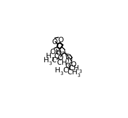 CC(C)(C)OC(=O)[C@@H](Cc1cc(CO)c2c(c1)OCCO2)[C@H]1CCN(C(=O)OC(C)(C)C)C1